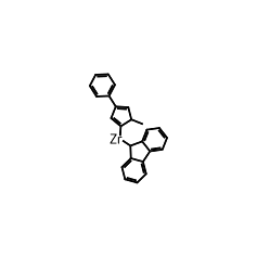 CC1C=C(c2ccccc2)C=[C]1[Zr][CH]1c2ccccc2-c2ccccc21